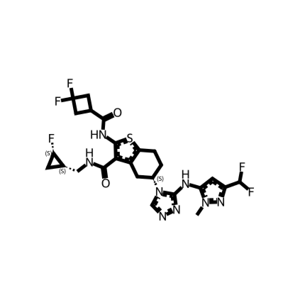 Cn1nc(C(F)F)cc1Nc1nncn1[C@H]1CCc2sc(NC(=O)C3CC(F)(F)C3)c(C(=O)NC[C@@H]3C[C@@H]3F)c2C1